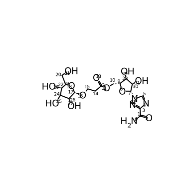 NC(=O)c1ncn([C@@H]2O[C@H](COC(=O)CCO[C@@H]3OC(CO)[C@H](O)C(O)C3O)[C@@H](O)[C@H]2O)n1